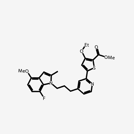 CCOc1cc(-c2cc(CCCn3c(C)cc4c(OC)ccc(F)c43)ccn2)sc1C(=O)OC